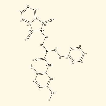 COc1ccc(Cl)c(NC(=S)N(CCN2C(=O)c3ccccc3C2=O)OCc2ccccc2)c1